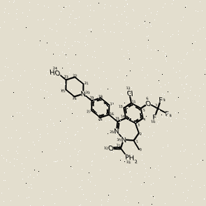 CC1Cc2cc(OC(F)(F)F)c(Cl)cc2C(c2ccc(N3CCC(O)CC3)cc2)=NN1C(=O)P